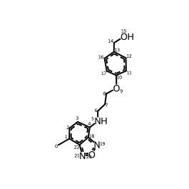 Cc1ccc(NCCCOc2ccc(CO)cc2)c2nonc12